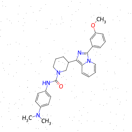 COc1cccc(-c2nc(C3CCCN(C(=O)Nc4ccc(N(C)C)cc4)C3)c3ccccn23)c1